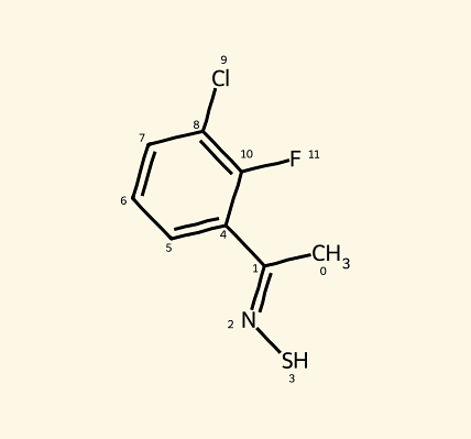 C/C(=N\S)c1cccc(Cl)c1F